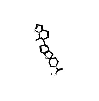 Cc1c(-c2ccc3c(c2)CC2(CCN(C(N)=O)CC2)O3)ccc2ccnn12